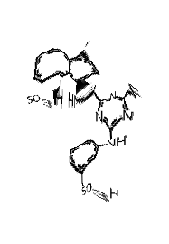 O=S(=O)(O)c1cccc(Nc2nc(F)nc(Nc3cc[c]c4cccc(S(=O)(=O)O)c34)n2)c1